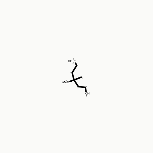 COC(C)(CCO)CCC(=O)O